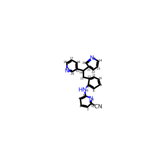 N#Cc1cccc(Nc2ccccc2CC(c2cccnc2)c2cccnc2)n1